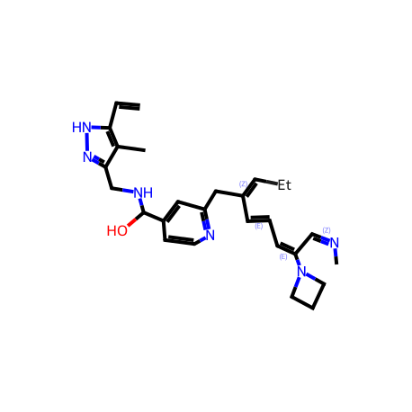 C=Cc1[nH]nc(CNC(O)c2ccnc(CC(=C/CC)/C=C/C=C(\C=N/C)N3CCC3)c2)c1C